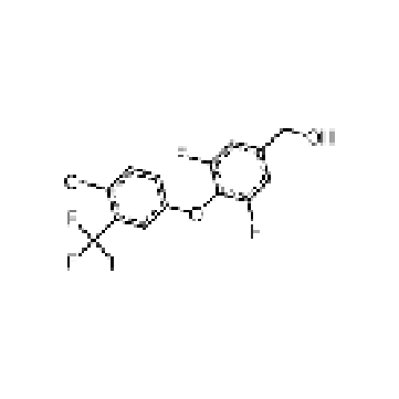 OCc1cc(F)c(Oc2ccc(Cl)c(C(F)(F)F)c2)c(F)c1